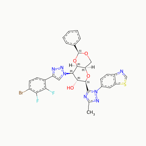 Cc1nc([C@@H]2O[C@@H]3CO[C@H](c4ccccc4)O[C@@H]3[C@H](n3cc(-c4ccc(Br)c(F)c4F)nn3)[C@H]2O)n(-c2ccc3ncsc3c2)n1